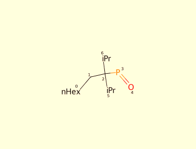 CCCCCCCC(P=O)(C(C)C)C(C)C